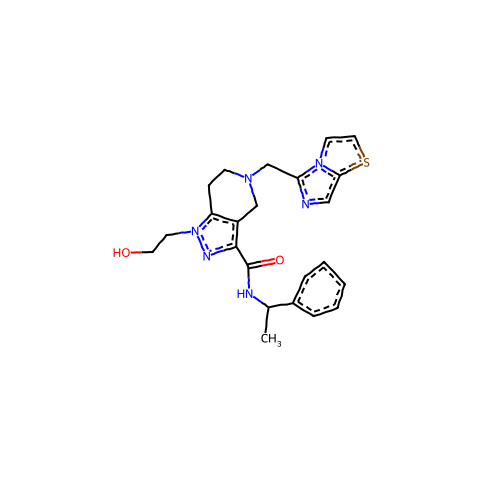 CC(NC(=O)c1nn(CCO)c2c1CN(Cc1ncc3sccn13)CC2)c1ccccc1